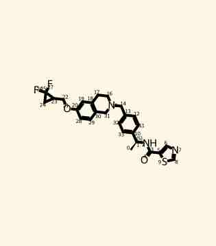 C[C@H](NC(=O)c1cncs1)c1ccc(CN2CCc3cc(OCC4CC4(F)F)ccc3C2)cc1